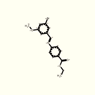 CCOC(=O)c1ccc(N=Cc2cc(Br)cc(OC)c2)cc1